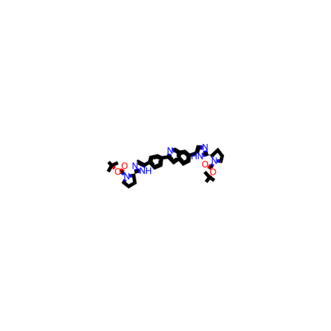 CC(C)(C)OC(=O)N1CCC[C@H]1c1ncc(-c2ccc(-c3cc4ccc(-c5cnc([C@@H]6CCCN6C(=O)OC(C)(C)C)[nH]5)cc4cn3)cc2)[nH]1